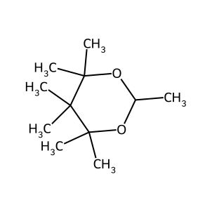 CC1OC(C)(C)C(C)(C)C(C)(C)O1